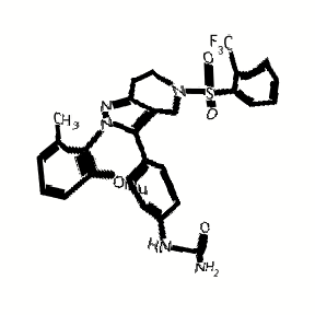 Cc1cccc(OCC(C)C)c1-n1nc2c(c1-c1ccc(NC(N)=O)cc1)CN(S(=O)(=O)c1ccccc1C(F)(F)F)CC2